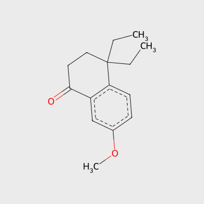 CCC1(CC)CCC(=O)c2cc(OC)ccc21